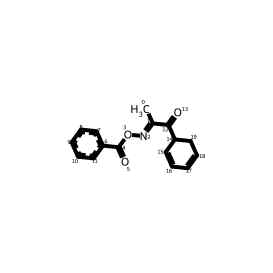 C/C(=N\OC(=O)c1ccccc1)C(=O)C1C=CC=CC1